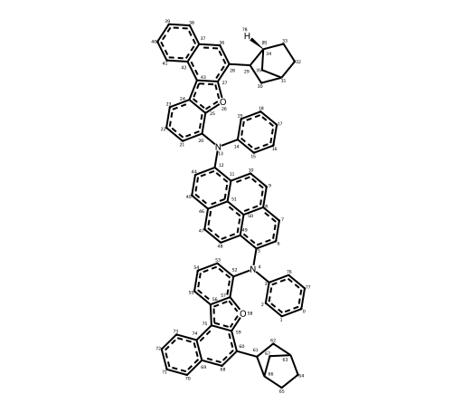 c1ccc(N(c2ccc3ccc4c(N(c5ccccc5)c5cccc6c5oc5c(C7CC8CC[C@@H]7C8)cc7ccccc7c56)ccc5ccc2c3c54)c2cccc3c2oc2c(C4CC5CCC4C5)cc4ccccc4c23)cc1